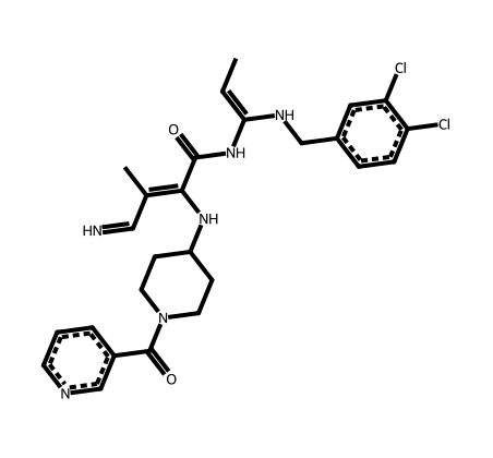 C/C=C(\NCc1ccc(Cl)c(Cl)c1)NC(=O)/C(NC1CCN(C(=O)c2cccnc2)CC1)=C(\C)C=N